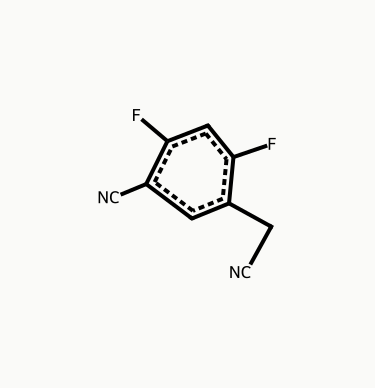 N#CCc1cc(C#N)c(F)cc1F